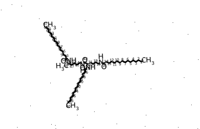 CCCCCCCCCCCCCCCC(=O)NCCCC[C@H](NC(=O)CCCCCCCCCCCCCCC)C(=O)NCCCC[C@@H](C)NC(=O)CCCCCCCCCCCCCCC